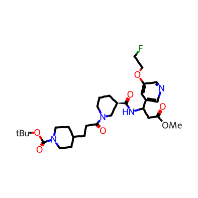 COC(=O)CC(NC(=O)[C@@H]1CCCN(C(=O)CCC2CCN(C(=O)OC(C)(C)C)CC2)C1)c1cncc(OCCF)c1